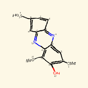 COc1cc2nc3ccc(S(=O)(=O)O)cc3nc2c(OC)c1O